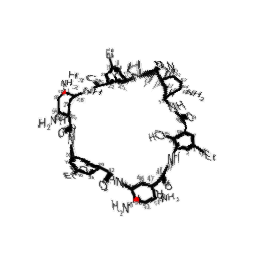 CCc1cc2c(O)c(c1)C(=O)N[C@H]1C[C@@H](C(=O)Nc3cc(CC)cc(c3O)C(C)N[C@H]3C[C@@H](C(=O)Nc4cc(CC)cc(c4O)C(=O)N[C@H]4C[C@@H](C(=O)N2)[C@H](N)C[C@@H]4N)[C@H](N)C[C@@H]3N)[C@H](N)C[C@@H]1N